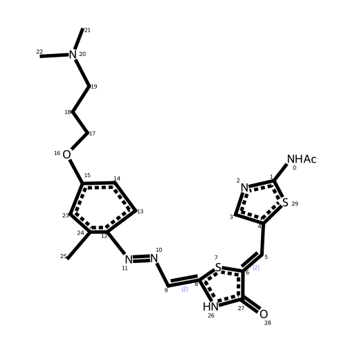 CC(=O)Nc1ncc(/C=c2\s/c(=C\N=Nc3ccc(OCCCN(C)C)cc3C)[nH]c2=O)s1